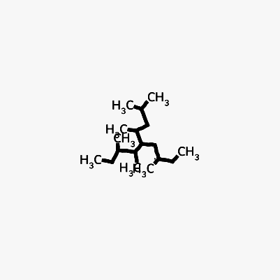 CC[C](C)CC(C(C)CC(C)C)C(C)C(C)CC